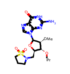 CO[C@H]1C(n2cnc3c(=O)[nH]c(N)nc32)O[C@H](CN2CCCS2(=O)=O)[C@H]1OC(C)C